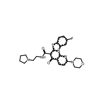 O=C(NCCN1CCCC1)c1c(=O)c2ccc(N3CCOCC3)nc2n2c1sc1ccc(F)cc12